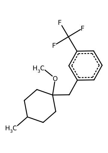 COC1(Cc2cccc(C(F)(F)F)c2)CCC(C)CC1